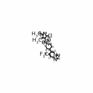 Cc1c(S(=O)(=O)N2CCC(c3cn4ncnc4cc3C(F)(F)F)CC2)c(Cl)nn1C